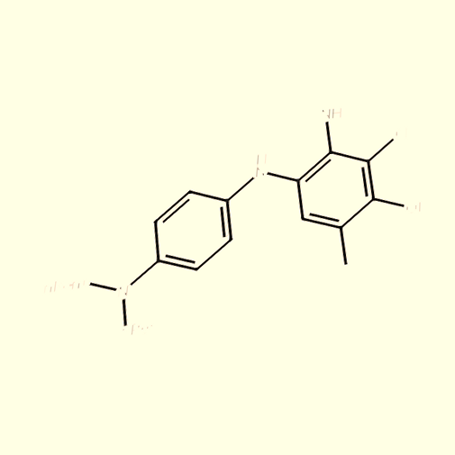 CCCCCN(CCCCC)c1ccc(Nc2cc(C)c(O)c(Cl)c2N)cc1